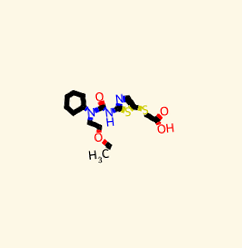 CCOCCN(C(=O)Nc1ncc(SCC(=O)O)s1)C1CCCCC1